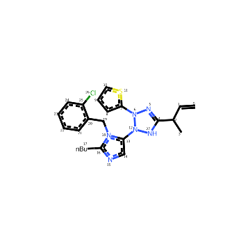 C=CC(C)C1=NN(c2cccs2)N(c2cnc(CCCC)n2Cc2ccccc2Cl)N1